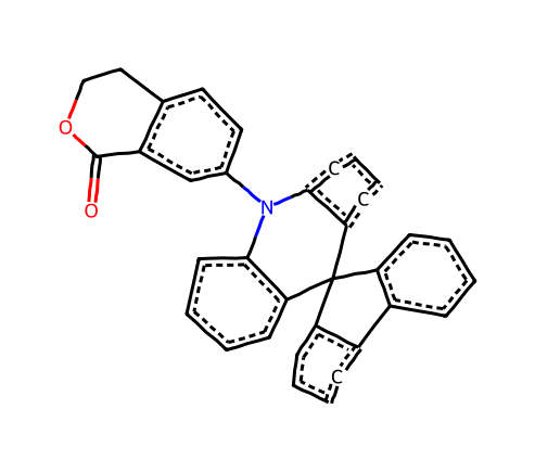 O=C1OCCc2ccc(N3c4ccccc4C4(c5ccccc5-c5ccccc54)c4ccccc43)cc21